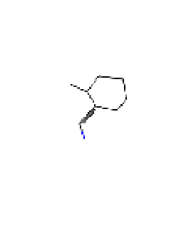 CC1CCCCC1=CN